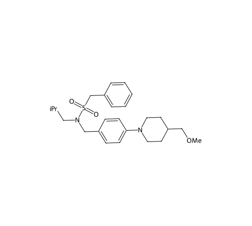 COCC1CCN(c2ccc(CN(CC(C)C)S(=O)(=O)Cc3ccccc3)cc2)CC1